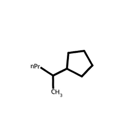 CCCC(C)C1CCCC1